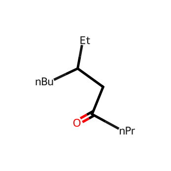 [CH2]CCC(=O)CC(CC)CCCC